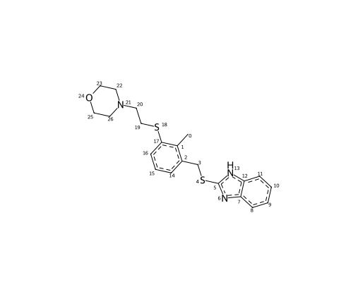 Cc1c(CSc2nc3ccccc3[nH]2)cccc1SCCN1CCOCC1